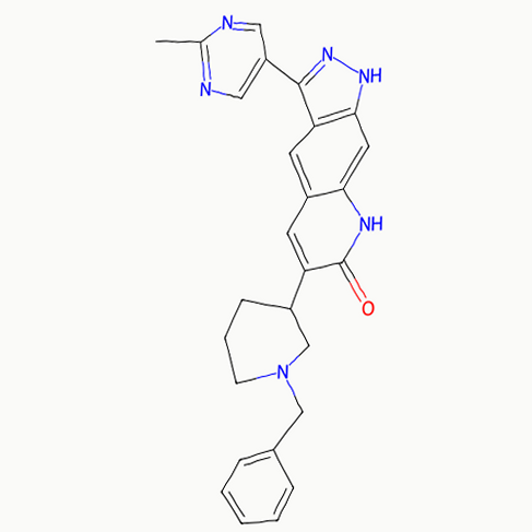 Cc1ncc(-c2n[nH]c3cc4[nH]c(=O)c(C5CCCN(Cc6ccccc6)C5)cc4cc23)cn1